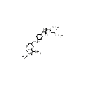 Nc1nc(N)c2nc(CNc3ccc(CC(=O)N[C@@H](CCC(=O)O)C(=O)O)cc3)cnc2n1